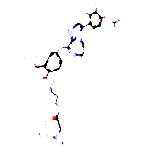 CCc1cc(Nc2nccn3c(-c4ccc(OC(F)F)c(F)c4F)cnc23)ccc1C(=O)NCCCNC(=O)CN(C)C